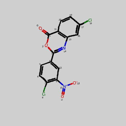 O=c1oc(-c2ccc(Cl)c([N+](=O)[O-])c2)nc2cc(Cl)ccc12